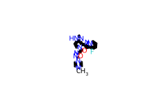 CN1CCN(c2nnc(C(=O)N3CCc4[nH]cnc4C3c3cc4c(F)cccn4n3)o2)CC1